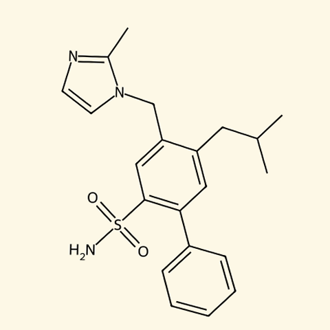 Cc1nccn1Cc1cc(S(N)(=O)=O)c(-c2ccccc2)cc1CC(C)C